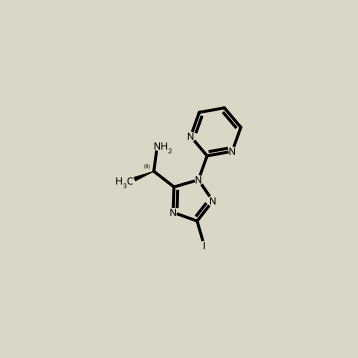 C[C@@H](N)c1nc(I)nn1-c1ncccn1